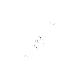 C=C(I)C[C@H](Cl)CC[C@@]12C[C@H]3O[C@H]4[C@@H](O1)[C@H]1OC(CC(=O)OC)CC[C@@H]1O[C@H]4C3CO2